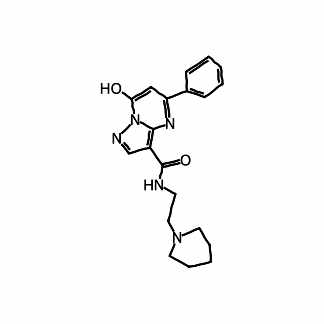 O=C(NCCN1CCCCC1)c1cnn2c(O)cc(-c3ccccc3)nc12